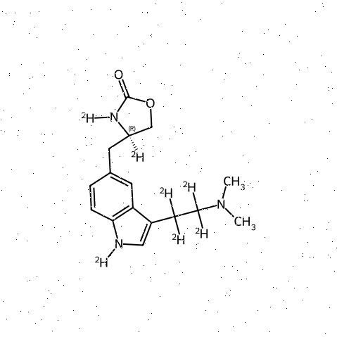 [2H]N1C(=O)OC[C@@]1([2H])Cc1ccc2c(c1)c(C([2H])([2H])C([2H])([2H])N(C)C)cn2[2H]